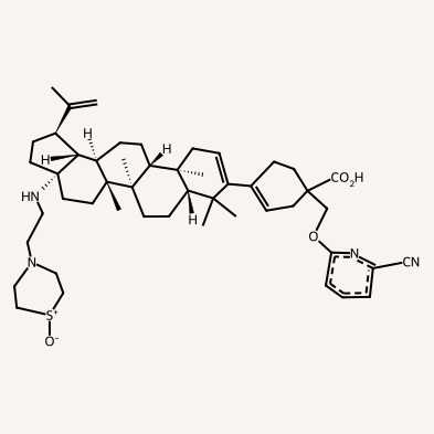 C=C(C)[C@@H]1CC[C@]2(NCCN3CC[S+]([O-])CC3)CC[C@]3(C)[C@H](CC[C@@H]4[C@@]5(C)CC=C(C6=CCC(COc7cccc(C#N)n7)(C(=O)O)CC6)C(C)(C)[C@@H]5CC[C@]43C)[C@@H]12